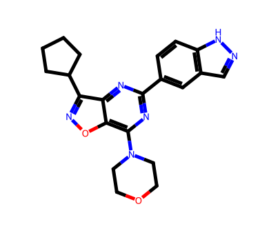 c1cc2[nH]ncc2cc1-c1nc(N2CCOCC2)c2onc(C3CCCC3)c2n1